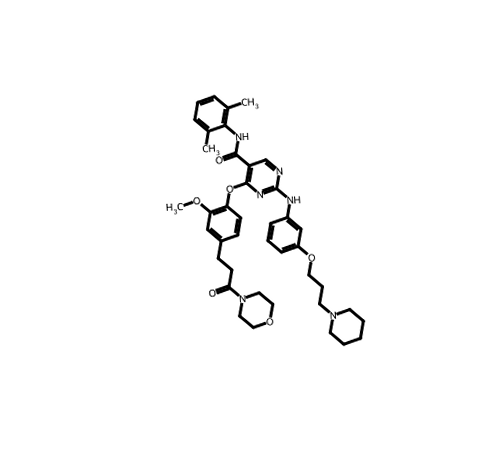 COc1cc(CCC(=O)N2CCOCC2)ccc1Oc1nc(Nc2cccc(OCCCN3CCCCC3)c2)ncc1C(=O)Nc1c(C)cccc1C